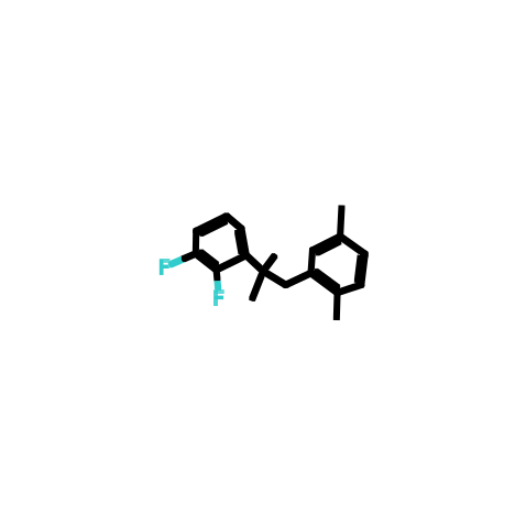 Cc1ccc(C)c(CC(C)(C)c2cccc(F)c2F)c1